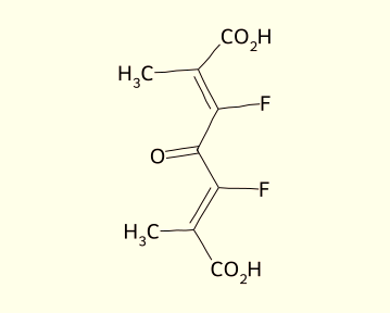 CC(C(=O)O)=C(F)C(=O)C(F)=C(C)C(=O)O